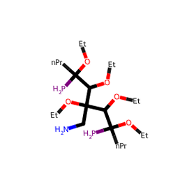 CCCC(P)(OCC)C(OCC)C(CN)(OCC)C(OCC)C(P)(CCC)OCC